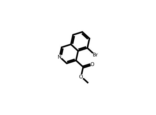 COC(=O)c1cncc2cccc(Br)c12